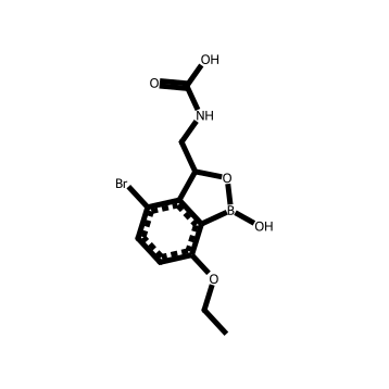 CCOc1ccc(Br)c2c1B(O)OC2CNC(=O)O